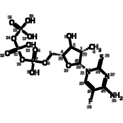 C[C@H]1C(O)[C@@H](COP(=O)(O)OP(=O)(O)OP(=O)(O)O)O[C@H]1n1cc(F)c(N)nc1=S